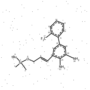 CC(C)(C)[Si](C)(C)OCC=Cc1cc(-c2ccccc2C(F)(F)F)cc(N)c1N